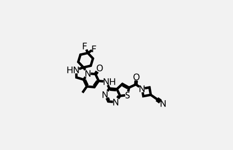 Cc1cc(Nc2ncnc3sc(C(=O)N4CC(C#N)C4)cc23)c(=O)n2c1CNC21CCC(F)(F)CC1